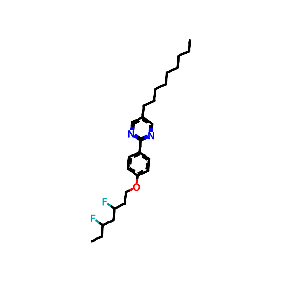 CCCCCCCCCc1cnc(-c2ccc(OCCC(F)CC(F)CC)cc2)nc1